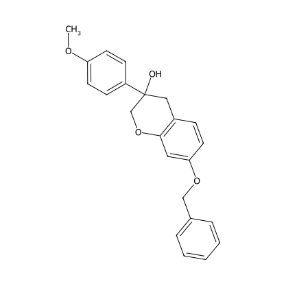 COc1ccc(C2(O)COc3cc(OCc4ccccc4)ccc3C2)cc1